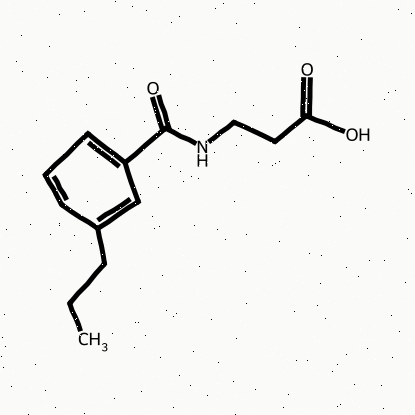 CCCc1cccc(C(=O)NCCC(=O)O)c1